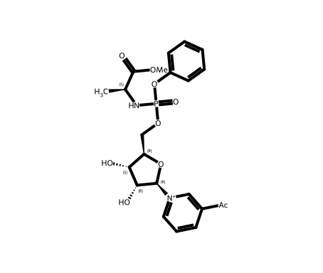 COC(=O)[C@H](C)NP(=O)(OC[C@H]1O[C@@H]([n+]2cccc(C(C)=O)c2)[C@H](O)[C@@H]1O)Oc1ccccc1